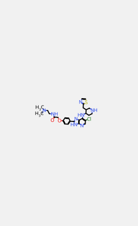 CN(C)CCNC(=O)COc1ccc(-c2nc3c(NC4CCNCC4Cc4nccs4)c(Cl)cnc3[nH]2)cc1